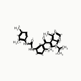 Cc1ccc(NC(=O)Nc2ccc(C)c(C(=O)c3cn(C(C)C)c4ncnc(N)c34)c2)c(C)c1